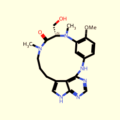 COc1ccc2cc1N(C)[C@@H](CO)C(=O)N(C)CCCc1c[nH]c3ncnc(c13)N2